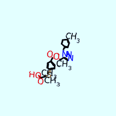 Cc1ccc(Cn2nncc2C(C)OC(=O)c2ccc(SC(C)(C)C(=O)O)cc2)cc1